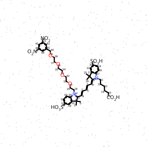 CC1(C)C(/C=C/C=C/C=C2/N(CCCCCC(=O)O)c3ccc(S(=O)(=O)O)cc3C2(C)C)=[N+](CCOCCOCCOCCOCc2cc([N+](=O)[O-])cc([N+](=O)[O-])c2)c2ccc(S(=O)(=O)O)cc21